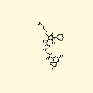 Cc1cc2cc(Cl)cc(C(=O)NCC(C)(C)CC(=O)Nc3c(CCCCN(C)C)n(C)n(-c4ccccc4)c3=O)c2o1